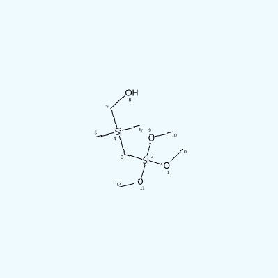 CO[Si](C[Si](C)(C)CO)(OC)OC